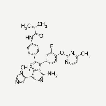 C=C(C)C(=O)Nc1ccc(-c2sc3c(-c4cncn4C)cnc(N)c3c2-c2ccc(Oc3nccc(C)n3)c(F)c2)cc1